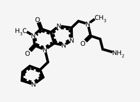 CN(Cc1nnc2c(n1)c(=O)n(C)c(=O)n2Cc1cccnc1)C(=O)CCN